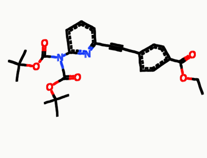 CCOC(=O)c1ccc(C#Cc2cccc(N(C(=O)OC(C)(C)C)C(=O)OC(C)(C)C)n2)cc1